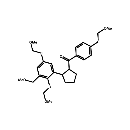 COCOc1ccc(C(=O)C2CCCC2c2cc(OCOC)cc(COC)c2OCOC)cc1